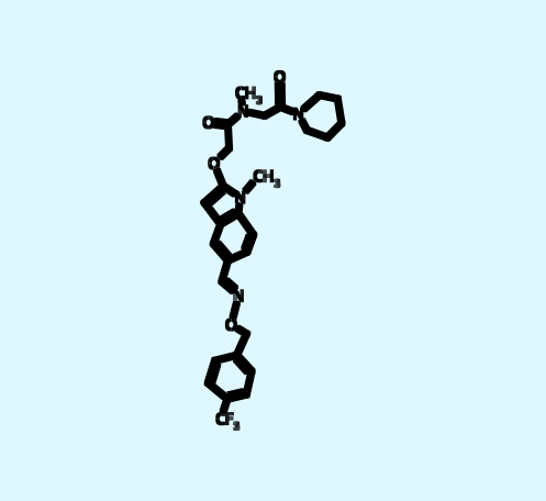 CN(CC(=O)N1CCCCC1)C(=O)COc1cc2cc(/C=N/OCc3ccc(C(F)(F)F)cc3)ccc2n1C